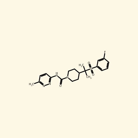 Cc1ccc(NC(=O)N2CCC(C(C)(C)S(=O)(=O)c3cccc(F)c3)CC2)nn1